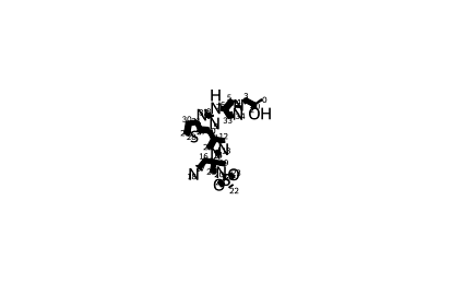 C[C@@H](O)Cn1cc(Nc2nc(-c3cnn(C4(CC#N)CN(S(C)(=O)=O)C4)c3)c3sccc3n2)cn1